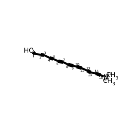 C#CC#CC#CC#CC#CC#CC#CC#CN(C)C